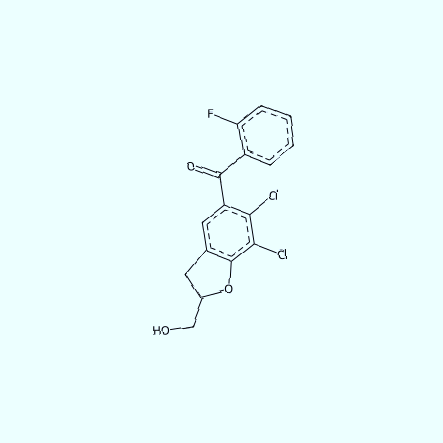 O=C(c1ccccc1F)c1cc2c(c(Cl)c1Cl)OC(CO)C2